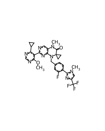 COc1ncnc(C2CC2)c1-c1ncc2c(n1)N(Cc1ccc(-c3nc(C(F)(F)F)cn3C)c(F)c1)C1(CC1)C(=O)N2C